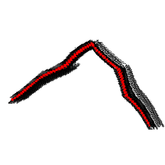 [O-2].[O-2].[O-2].[O-2].[O-2].[O-2].[O-2].[O-2].[O-2].[O-2].[O-2].[O-2].[O-2].[O-2].[O-2].[O-2].[O-2].[O-2].[O-2].[O-2].[O-2].[O-2].[O-2].[O-2].[O-2].[O-2].[O-2].[O-2].[O-2].[O-2].[O-2].[O-2].[O-2].[O-2].[O-2].[O-2].[O-2].[O-2].[O-2].[O-2].[O-2].[O-2].[O-2].[O-2].[O-2].[O-2].[O-2].[O-2].[O-2].[O-2].[Zn+2].[Zn+2].[Zn+2].[Zn+2].[Zn+2].[Zn+2].[Zn+2].[Zn+2].[Zn+2].[Zn+2].[Zn+2].[Zn+2].[Zn+2].[Zn+2].[Zn+2].[Zn+2].[Zn+2].[Zn+2].[Zn+2].[Zn+2].[Zn+2].[Zn+2].[Zn+2].[Zn+2].[Zn+2].[Zn+2].[Zn+2].[Zn+2].[Zn+2].[Zn+2].[Zn+2].[Zn+2].[Zn+2].[Zn+2].[Zn+2].[Zn+2].[Zn+2].[Zn+2].[Zn+2].[Zn+2].[Zn+2].[Zn+2].[Zn+2].[Zn+2].[Zn+2].[Zn+2].[Zn+2].[Zn+2].[Zn+2].[Zn+2].[Zn+2].[Zn+2].[Zn+2].[Zn+2].[Zn+2].[Zn+2].[Zn+2].[Zn+2].[Zn+2].[Zn+2].[Zn+2].[Zn+2].[Zn+2].[Zn+2].[Zn+2].[Zn+2].[Zn+2].[Zn+2].[Zn+2].[Zn+2].[Zn+2].[Zn+2].[Zn+2].[Zn+2].[Zn+2].[Zn+2].[Zn+2].[Zn+2].[Zn+2].[Zn+2].[Zn+2].[Zn+2].[Zn+2].[Zn+2].[Zn+2].[Zn+2].[Zn+2].[Zn+2].[Zn+2].[Zn+2].[Zn+2].[Zn+2].[Zn+2].[Zn+2].[Zn+2].[Zn+2].[Zn+2].[Zn+2].[Zn+2].[Zn+2]